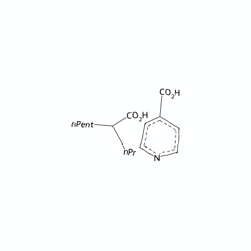 CCCCCC(CCC)C(=O)O.O=C(O)c1ccncc1